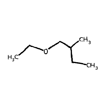 CCOCC(C)CC